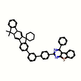 CC1(C)c2ccccc2C2C=C3C(=CC21)c1ccc(-c2cccc(-c4ccc(-c5nc(-c6ccccc6)c6c(n5)sc5ccccc56)cc4)c2)cc1C31CCCCC1